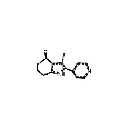 Cc1c(-c2ccncc2)[nH]c2c1C(=O)CCC2